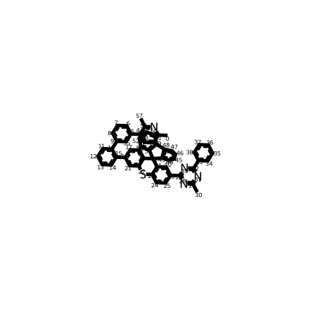 Cc1ccc(-c2cccc(-c3ccccc3-c3ccc4c(c3)Sc3ccc(-c5nc(C)nc(-c6ccccc6)n5)cc3C43c4ccccc4-c4ccccc43)c2)c(C)n1